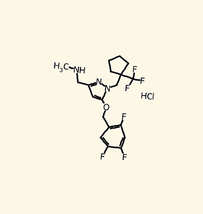 CNCc1cc(OCc2cc(F)c(F)cc2F)n(CC2(C(F)(F)F)CCCC2)n1.Cl